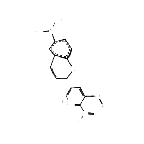 C=C(/C(=C\C(=C/C)[C@@H]1C=Cc2cc(N(C)C)ccc2N1)OC)[N+](=O)[O-]